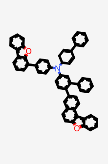 C1=CC(N(c2ccc(-c3cccc4c3oc3ccccc34)cc2)c2ccc(-c3ccc4c(ccc5oc6ccccc6c54)c3)c(-c3ccccc3)c2)CC=C1c1ccccc1